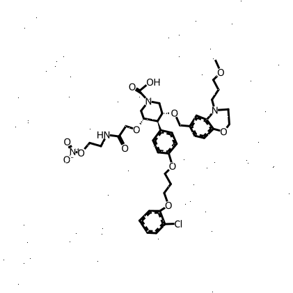 COCCCN1CCOc2ccc(CO[C@H]3CN(C(=O)O)C[C@@H](OCC(=O)NCCO[N+](=O)[O-])[C@@H]3c3ccc(OCCCOc4ccccc4Cl)cc3)cc21